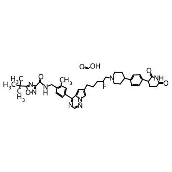 Cc1cc(-c2ncnn3cc(CCCC(F)CN4CCC(c5ccc(C6CCC(=O)NC6=O)cc5)CC4)cc23)ccc1CNC(=O)c1noc(C(C)(C)C)n1.O=CO